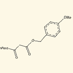 CCCCCC(=O)CC(=O)OCc1ccc(OC)cc1